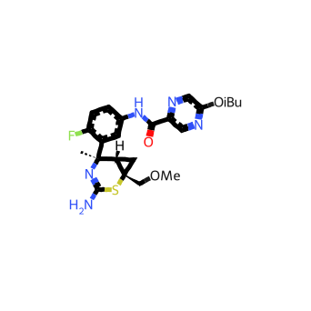 COC[C@]12C[C@H]1[C@](C)(c1cc(NC(=O)c3cnc(OCC(C)C)cn3)ccc1F)N=C(N)S2